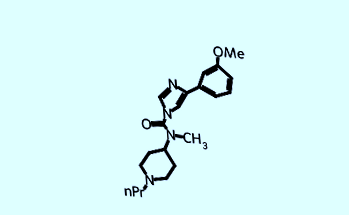 CCCN1CCC(N(C)C(=O)n2cnc(-c3cccc(OC)c3)c2)CC1